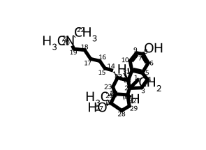 C=CC12CCc3cc(O)ccc3[C@H]1[C@@H](CCCCCCN(C)C)C[C@]1(C)[C@@H](O)CC[C@@H]21